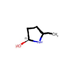 CC1CC[C@H](O)N1